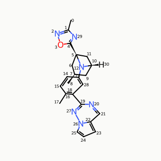 Cc1noc([C@@]23C[C@H](C)C[C@@H](C2)N3c2ccc(C)c(-c3ncc4cccn4n3)c2)n1